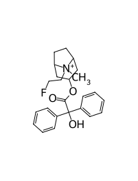 C[N+]1(CCF)C2CCC1CC(OC(=O)C(O)(c1ccccc1)c1ccccc1)C2